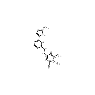 Cc1ccc(-c2cccc(CCc3cc(=O)n(C)c(N)n3)c2)s1